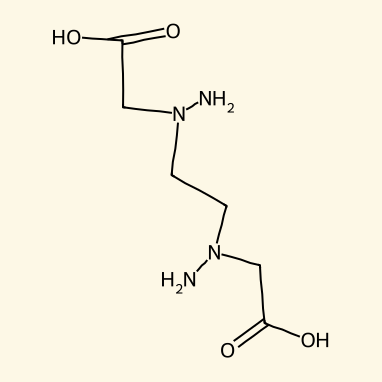 NN(CCN(N)CC(=O)O)CC(=O)O